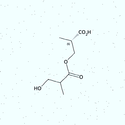 CC(CO)C(=O)OC[C@H](C)C(=O)O